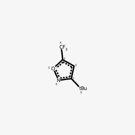 CC(C)(C)c1cc(C(F)(F)F)on1